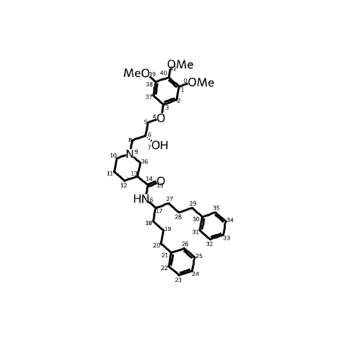 COc1cc(OC[C@H](O)CN2CCCC(C(=O)NC(CCCc3ccccc3)CCCc3ccccc3)C2)cc(OC)c1OC